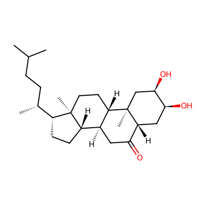 CC(C)CC[C@@H](C)[C@H]1CC[C@H]2[C@@H]3CC(=O)[C@H]4C[C@H](O)[C@H](O)C[C@]4(C)[C@H]3CC[C@]12C